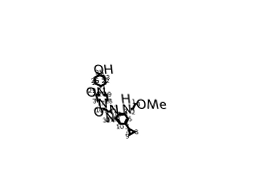 COCCNc1cc(C2CC2)cc2c1nc(C(=O)N1CCN([C@H]3CC[C@H](O)CC3)C(=O)C1)n2C